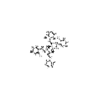 Cc1ccccc1/C=C/c1nc(/C=C/c2ccccc2C)c(/C=C/c2ccccc2C)nc1/C=C/c1ccccc1C